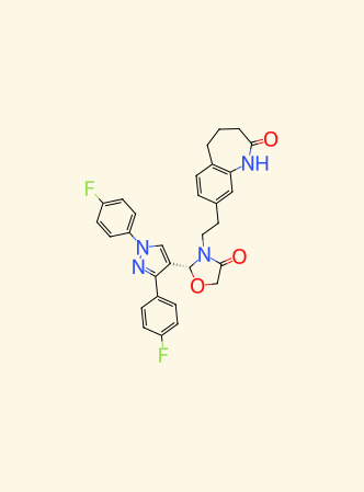 O=C1CCCc2ccc(CCN3C(=O)CO[C@@H]3c3cn(-c4ccc(F)cc4)nc3-c3ccc(F)cc3)cc2N1